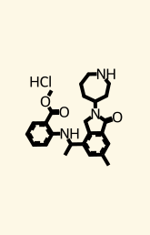 COC(=O)c1ccccc1NC(C)c1cc(C)cc2c1CN(C1CCCNCC1)C2=O.Cl